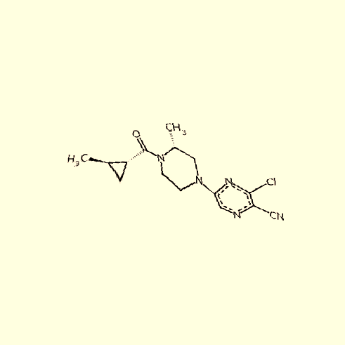 C[C@@H]1C[C@H]1C(=O)N1CCN(c2cnc(C#N)c(Cl)n2)C[C@H]1C